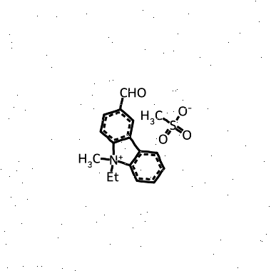 CC[N+]1(C)c2ccccc2-c2cc(C=O)ccc21.CS(=O)(=O)[O-]